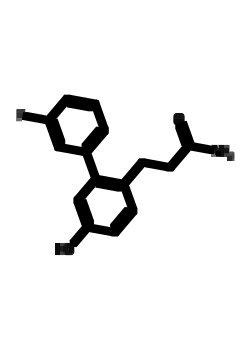 NC(=O)CCc1ccc(O)cc1-c1cccc(F)c1